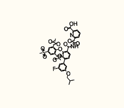 CC(C)COc1cc(F)cc(-c2ccc(C(=O)NS(=O)(=O)c3cccc(C(=O)O)n3)c(Oc3c(S(C)(=O)=O)cc(S(C)(=O)=O)cc3S(C)(=O)=O)n2)c1